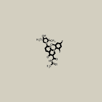 CC[C@H](NC(=O)c1cn(-c2c(F)cc(F)cc2Cl)c2nc(N3C[C@@](C)(O)C[C@H]3C)ccc2c1=O)C(F)(F)F